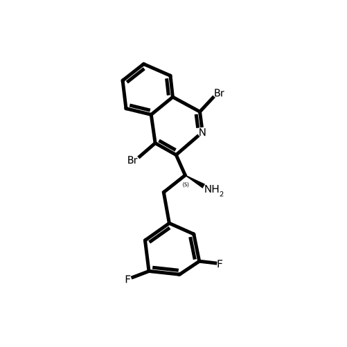 N[C@@H](Cc1cc(F)cc(F)c1)c1nc(Br)c2ccccc2c1Br